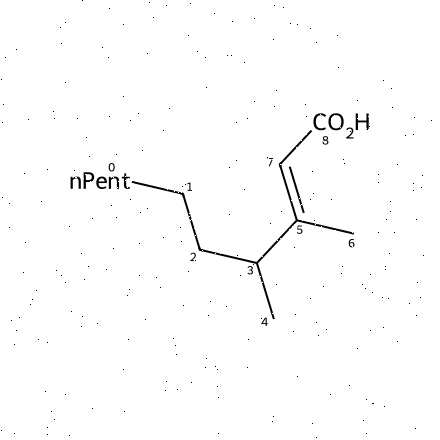 CCCCCCCC(C)C(C)=CC(=O)O